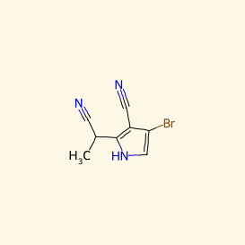 CC(C#N)c1[nH]cc(Br)c1C#N